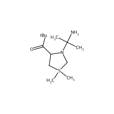 CC(C)(C)C(=O)C1CS(C)(C)CN1C(C)(C)N